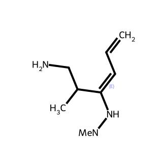 C=C/C=C(/NNC)C(C)CN